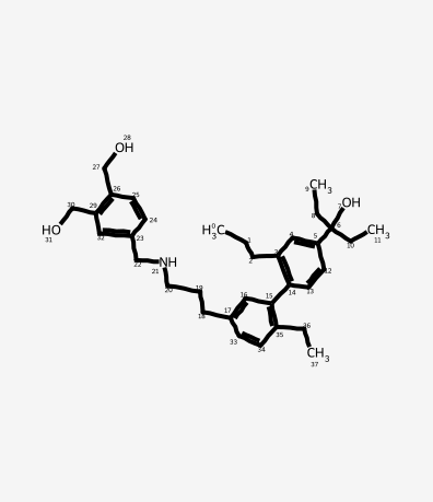 CCCc1cc(C(O)(CC)CC)ccc1-c1cc(CCCNCc2ccc(CO)c(CO)c2)ccc1CC